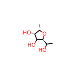 CC(O)[C@@H]1O[C@@H](C)[C@@H](O)C1O